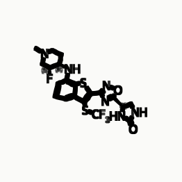 CN1CC[C@@H](Nc2cccc3c(SC(F)(F)F)c(-c4noc([C@H]5CNC(=O)N5)n4)sc23)[C@@H](F)C1